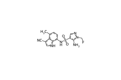 Cc1ccc(NS(=O)(=O)c2cnn(CF)c2N)c2[nH]cc(C#N)c12